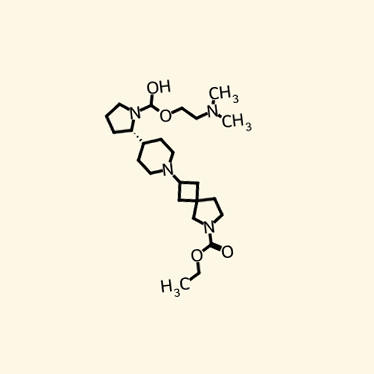 CCOC(=O)N1CCC2(CC(N3CCC([C@@H]4CCCN4C(O)OCCN(C)C)CC3)C2)C1